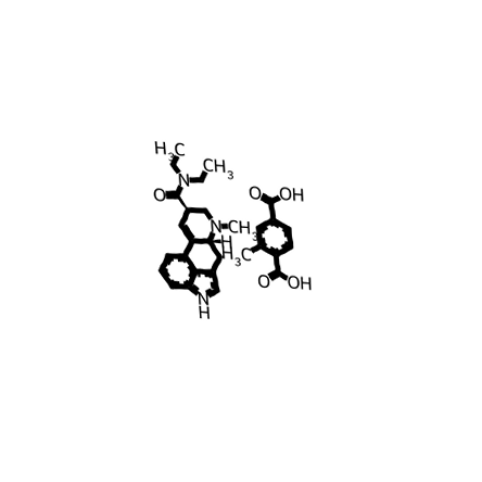 CCN(CC)C(=O)[C@@H]1C=C2c3cccc4[nH]cc(c34)C[C@H]2N(C)C1.Cc1cc(C(=O)O)ccc1C(=O)O